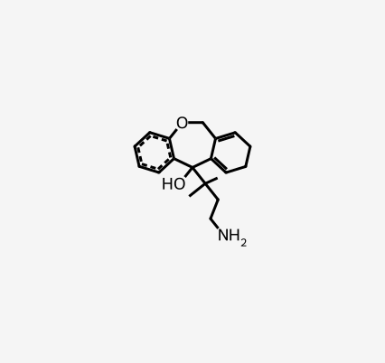 CC(C)(CCN)C1(O)C2=CCCC=C2COc2ccccc21